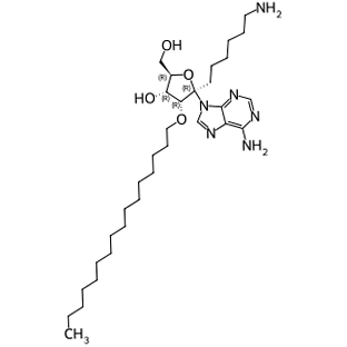 CCCCCCCCCCCCCCCCO[C@@H]1[C@H](O)[C@@H](CO)O[C@@]1(CCCCCCN)n1cnc2c(N)ncnc21